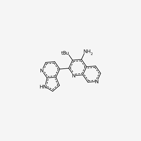 CC(C)(C)c1c(-c2ccnc3[nH]ccc23)nc2cnccc2c1N